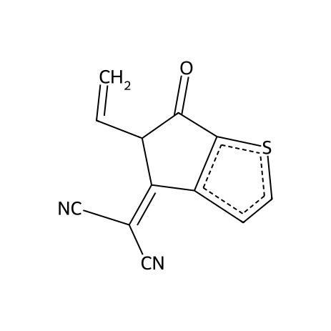 C=CC1C(=O)c2sccc2C1=C(C#N)C#N